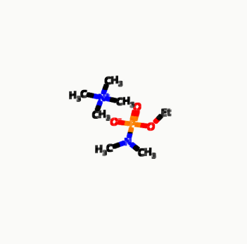 CCOP(=O)([O-])N(C)C.C[N+](C)(C)C